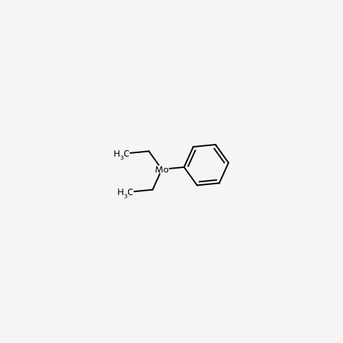 C[CH2][Mo]([CH2]C)[c]1ccccc1